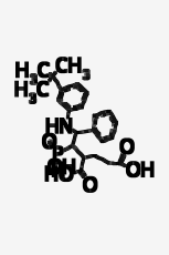 CC(C)(C)c1cccc(NC(c2ccccc2)C(C(CCC(=O)O)C(=O)O)[PH](=O)O)c1